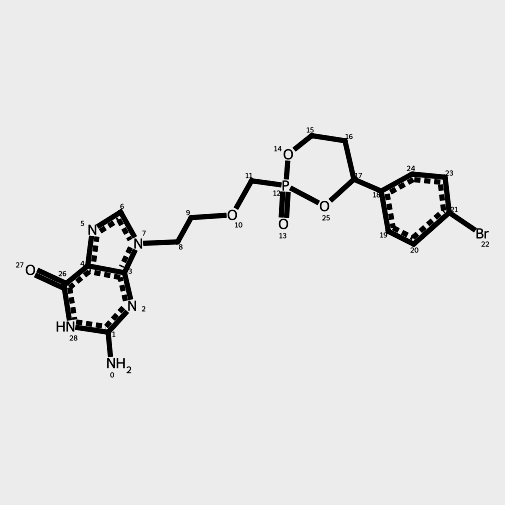 Nc1nc2c(ncn2CCOCP2(=O)OCCC(c3ccc(Br)cc3)O2)c(=O)[nH]1